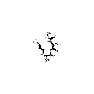 CC(C)[C@H](OC(=O)[C@H](C)NC(=O)OC(C)(C)C)[C@H](C)OC/C=C/C(F)(F)F